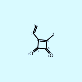 C=Cc1c(C)c(=O)c1=O